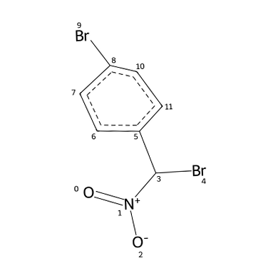 O=[N+]([O-])C(Br)c1ccc(Br)cc1